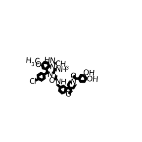 COc1ccc2c(c1)C(c1ccc(Cl)cc1)=N[C@@H](CC(=O)NCc1ccc3c(c1)C1(CCN(C(=O)c4ccc(O)c(O)c4)CC1)CO3)C(=N)N2C(C)=N